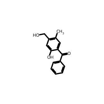 Cc1cc(C(=O)c2ccccc2)c(O)cc1CO